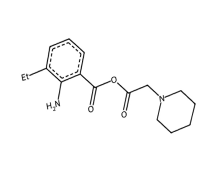 CCc1cccc(C(=O)OC(=O)CN2CCCCC2)c1N